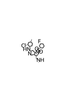 CNCc1cn(S(=O)(=O)c2cccc(F)c2)c2cc(Nc3ccc(C)cc3Cl)ncc12